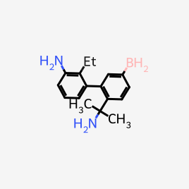 Bc1ccc(C(C)(C)N)c(-c2cccc(N)c2CC)c1